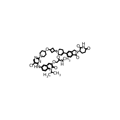 CNC(=O)COc1cc2cc(Nc3nc(N4CCC(OC5CC(N6CC=C(c7ccc8c(c7)CN([C@@H]7CCC(=O)NC7=O)C8=O)CC6)C5)CC4)ncc3Cl)ccc2n(C(C)C)c1=O